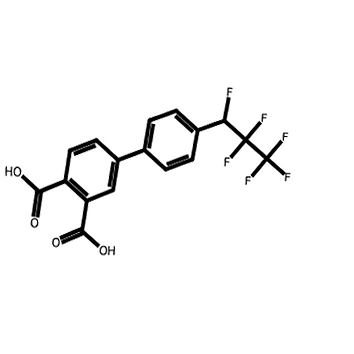 O=C(O)c1ccc(-c2ccc(C(F)C(F)(F)C(F)(F)F)cc2)cc1C(=O)O